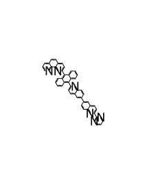 c1cnc(-c2ccc3cc(-c4ccc5nc(-c6c7ccccc7c(-c7ccc8ccc9cccnc9c8n7)c7ccccc67)ccc5c4)ccc3n2)nc1